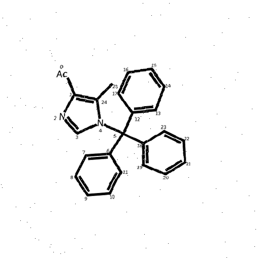 CC(=O)c1ncn(C(c2ccccc2)(c2ccccc2)c2ccccc2)c1C